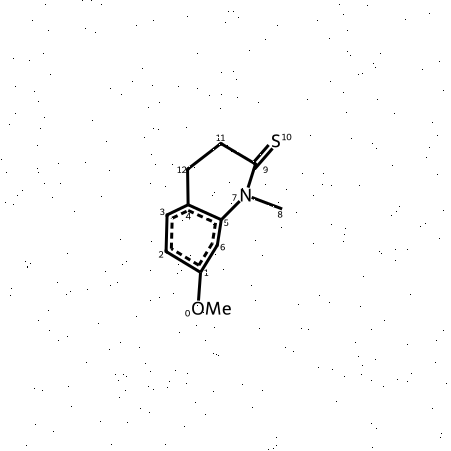 COc1ccc2c(c1)N(C)C(=S)CC2